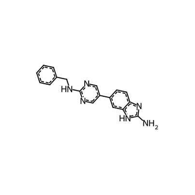 Nc1nc2ccc(-c3cnc(NCc4ccccc4)nc3)cc2[nH]1